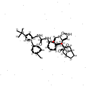 Cc1ccc(-n2nc(C(C)(C)C)cc2NC(=O)Nc2cccc(CC3CC4CCC(C3)N4S(=O)(=O)C3=CC=CN4ONC=C34)c2)cc1